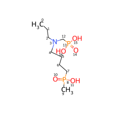 CCCN(CCCCP(C)(=O)O)CP(=O)(O)O